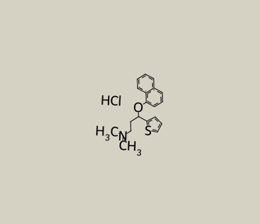 CN(C)CCC(Oc1cccc2ccccc12)c1cccs1.Cl